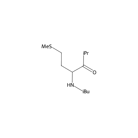 CCC(C)NC(CCSC)C(=O)C(C)C